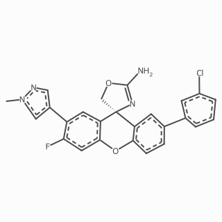 Cn1cc(-c2cc3c(cc2F)Oc2ccc(-c4cccc(Cl)c4)cc2[C@@]32COC(N)=N2)cn1